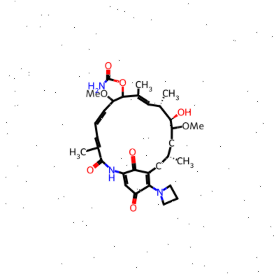 COC1/C=C\C=C(/C)C(=O)NC2=CC(=O)C(N3CCC3)=C(C[C@@H](C)CC(OC)[C@H](O)[C@@H](C)/C=C(\C)C1OC(N)=O)C2=O